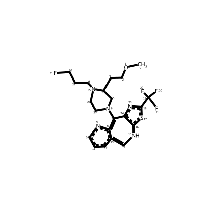 COCCC1CN(C2=c3ncccc3=CNc3sc(C(F)(F)F)nc32)CCN1CCCF